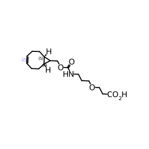 O=C(O)CCOCCCNC(=O)OCC1[C@H]2CC/C=C\CC[C@@H]12